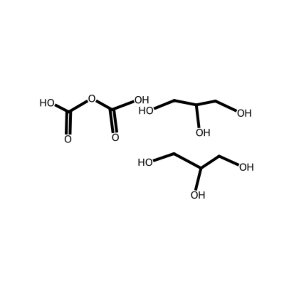 O=C(O)OC(=O)O.OCC(O)CO.OCC(O)CO